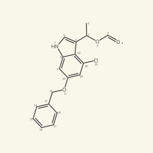 CC(OC=O)c1c[nH]c2cc(OCc3ccccc3)cc(Cl)c12